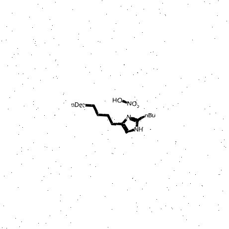 CCCCCCCCCCCCCCc1c[nH]c(CCCC)n1.O=[N+]([O-])O